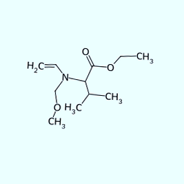 C=CN(COC)C(C(=O)OCC)C(C)C